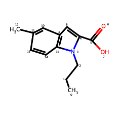 CCCn1c(C(=O)O)cc2cc(C)ccc21